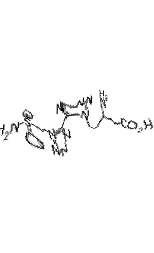 NC(CC(=O)O)Cn1nnnc1-c1nnnn1CS(N)(=O)=O